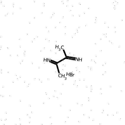 Br.CC(=N)C(C)=N